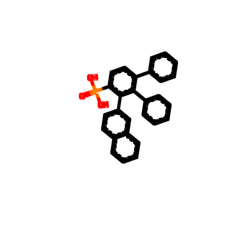 O=P(O)(O)c1ccc(-c2ccccc2)c(-c2ccccc2)c1-c1ccc2ccccc2c1